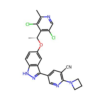 Cc1ncc(Cl)c([C@@H](C)Oc2ccc3[nH]nc(-c4cnc(N5CCC5)c(C#N)c4)c3c2)c1Cl